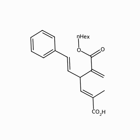 C=C(C(=O)OCCCCCC)C(C=Cc1ccccc1)C=C(C)C(=O)O